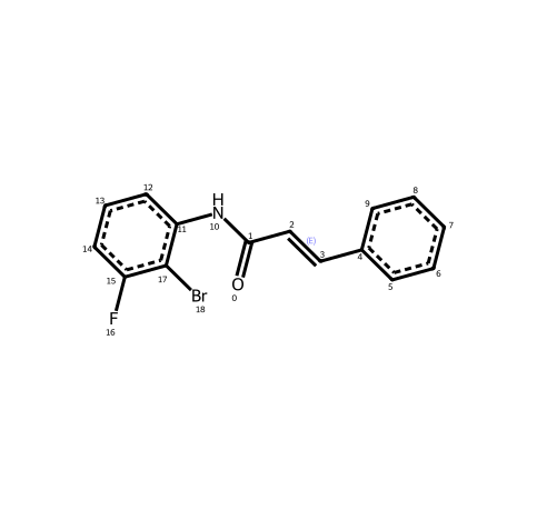 O=C(/C=C/c1ccccc1)Nc1cccc(F)c1Br